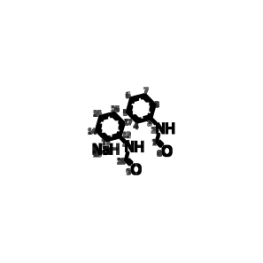 O=CNc1ccccc1.O=CNc1ccccc1.[NaH]